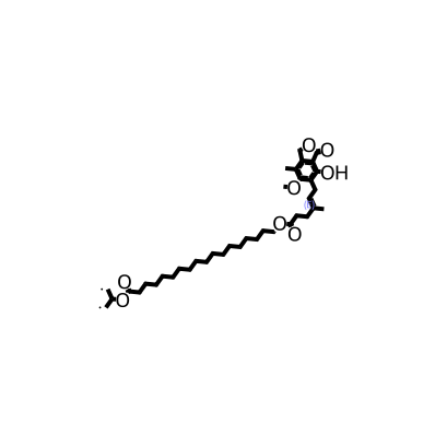 [CH2]C([CH2])OC(=O)CCCCCCCCCCCCCCCCCOC(=O)CC/C(C)=C/Cc1c(O)c2c(c(C)c1OC)COC2=O